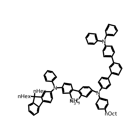 CCCCCCCCc1ccc(N(c2ccc(-c3cccc(-c4ccc(N(c5ccccc5)c5ccccc5)cc4)c3)cc2)c2ccc(-c3ccc(N(c4ccccc4)c4ccc5c(c4)C(CCCCCC)(CCCCCC)c4ccccc4-5)cc3C)c(C)c2)cc1